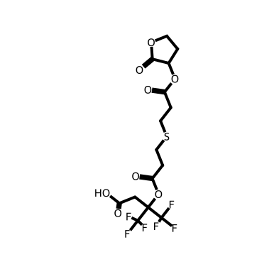 O=C(O)CC(OC(=O)CCSCCC(=O)OC1CCOC1=O)(C(F)(F)F)C(F)(F)F